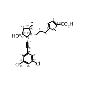 O=C(O)c1ccc(CCC[C@@H]2[C@@H](C#Cc3cc(Cl)cc(Cl)c3)[C@H](O)C[C@H]2Cl)s1